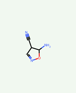 N#CC1[C]=NOC1N